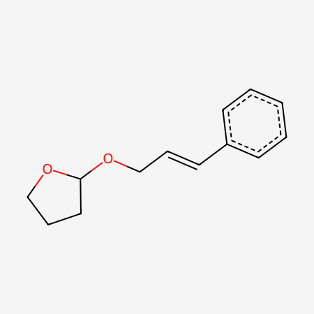 C(=Cc1ccccc1)COC1CCCO1